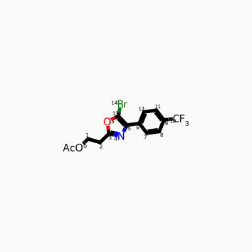 CC(=O)OCCc1nc(-c2ccc(C(F)(F)F)cc2)c(Br)o1